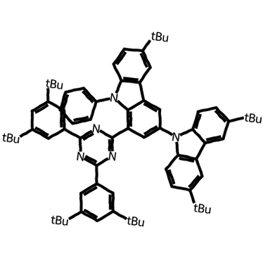 CC(C)(C)c1cc(-c2nc(-c3cc(C(C)(C)C)cc(C(C)(C)C)c3)nc(-c3cc(-n4c5ccc(C(C)(C)C)cc5c5cc(C(C)(C)C)ccc54)cc4c5cc(C(C)(C)C)ccc5n(-c5ccccc5)c34)n2)cc(C(C)(C)C)c1